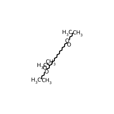 CC(C)CCCOC(=O)CCCCCCCCCCCCC(CC(=O)OCCCC(C)C)C(C)C